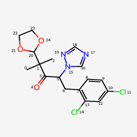 CC(C)(C(=O)C(Cc1ccc(Cl)cc1Cl)n1cncn1)C1OCCO1